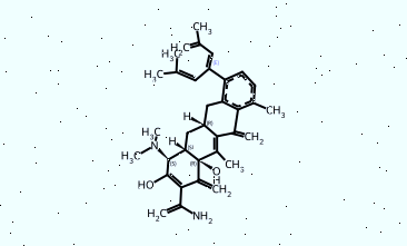 C=C(C)/C=C(\C=C(C)C)c1ccc(C)c2c1C[C@H]1C[C@H]3[C@H](N(C)C)C(O)=C(C(=C)N)C(=C)[C@@]3(O)C(C)=C1C2=C